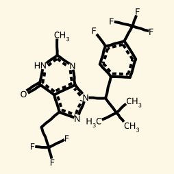 Cc1nc2c(c(CC(F)(F)F)nn2C(c2ccc(C(F)(F)F)c(F)c2)C(C)(C)C)c(=O)[nH]1